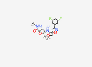 C=C[C@]1(C(=O)N[C@@H]2CO[C@H](C(=O)NC3CC3)C2)CC(c2cc(F)cc(F)c2)=NO1